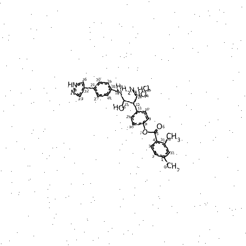 Cc1ccc(C(=O)Oc2ccc(C(CN)C(O)Nc3ccc(-c4cn[nH]c4)cc3)cc2)c(C)c1.Cl.Cl